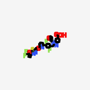 O=C(O)c1ccc2nc(Cc3cc(F)c(-c4cccc(OCc5nnc(OC6(C(F)F)CCC6)s5)n4)cc3F)n(C[C@@H]3CCO3)c2c1